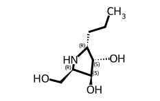 CCC[C@H]1N[C@H](CO)[C@H](O)[C@H]1O